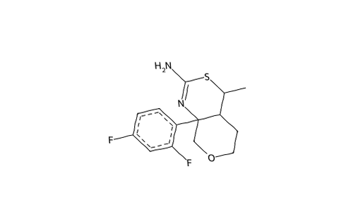 CC1SC(N)=NC2(c3ccc(F)cc3F)COCCC12